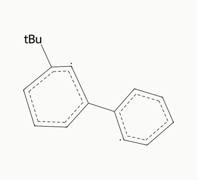 CC(C)(C)c1[c]c(-c2[c]cccc2)ccc1